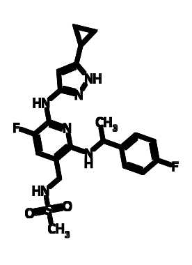 CC(Nc1nc(Nc2cc(C3CC3)[nH]n2)c(F)cc1CNS(C)(=O)=O)c1ccc(F)cc1